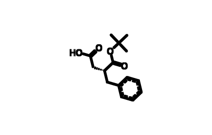 CC(C)(C)OC(=O)[C@@H](CC(=O)O)Cc1ccccc1